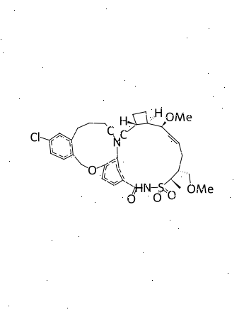 COC[C@H]1C/C=C/[C@H](OC)[C@@H]2CC[C@H]2CN2CCCCc3cc(Cl)ccc3COc3ccc(cc32)C(=O)NS(=O)(=O)[C@@H]1C